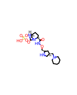 O=C(NOC[C@H]1C[C@@H](CN2CCCCCC2)CN1)[C@@H]1CC[C@@H]2CN1C(=O)N2OS(=O)(=O)O